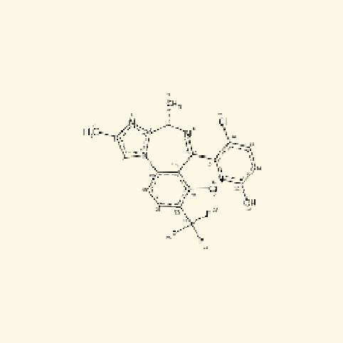 Cc1cn2c(n1)[C@H](C)N=C(c1nc(O)ccc1Cl)c1c-2ccc(C(F)(F)F)c1Cl